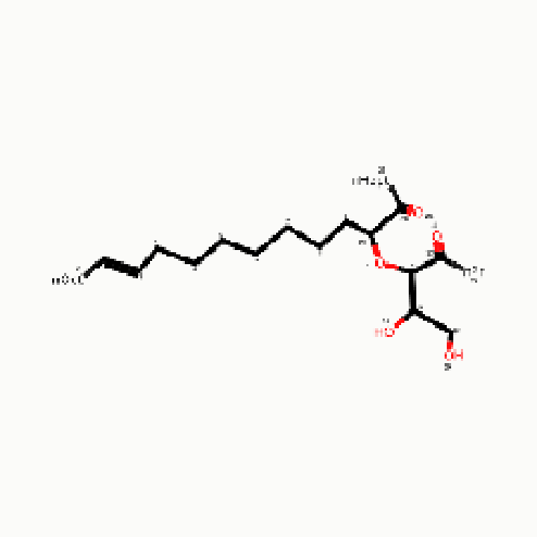 CCCCCCCCC=CCCCCCCCC(OC(C(=O)CCC)C(O)CO)C(=O)CCCCCCC